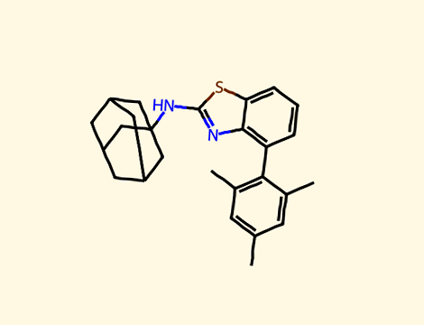 Cc1cc(C)c(-c2cccc3sc(NC45CC6CC(CC(C6)C4)C5)nc23)c(C)c1